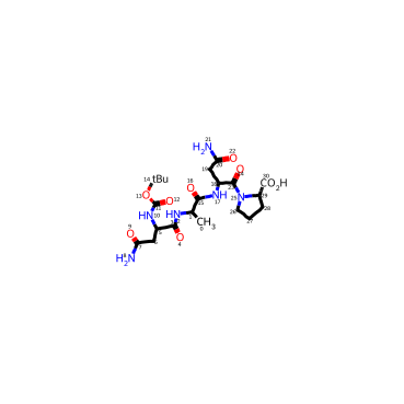 CC(NC(=O)C(CC(N)=O)NC(=O)OC(C)(C)C)C(=O)NC(CC(N)=O)C(=O)N1CCCC1C(=O)O